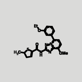 CCOc1cccc(-c2ccc(OC)c3nc(NC(=O)C4=CCC(C)S4)nn23)c1